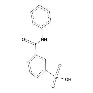 O=C(Nc1ccccc1)c1cccc(S(=O)(=O)O)c1